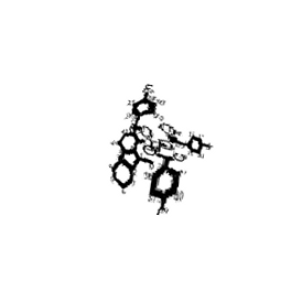 CC1C2=C(CCCC2)C2=C1[CH]([Ti]([O]C(=O)c1ccc(F)cc1)([O]C(=O)c1ccc(F)cc1)[O]C(=O)c1ccc(F)cc1)CCC2